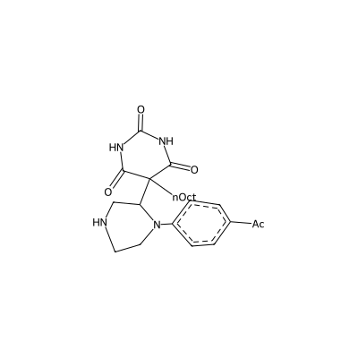 CCCCCCCCC1(C2CNCCN2c2ccc(C(C)=O)cc2)C(=O)NC(=O)NC1=O